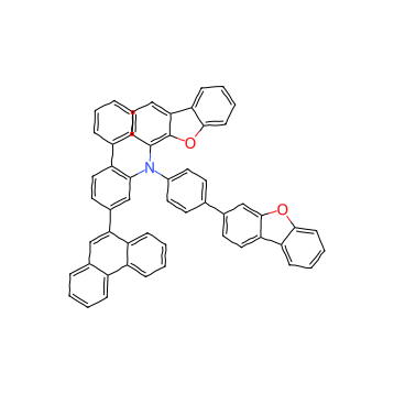 c1ccc(-c2ccc(-c3cc4ccccc4c4ccccc34)cc2N(c2ccc(-c3ccc4c(c3)oc3ccccc34)cc2)c2cccc3c2oc2ccccc23)cc1